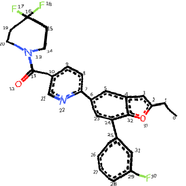 CCc1cc2cc(-c3ccc(C(=O)N4CCC(F)(F)CC4)cn3)cc(-c3cccc(F)c3)c2o1